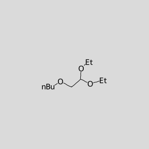 C[CH]CCOCC(OCC)OCC